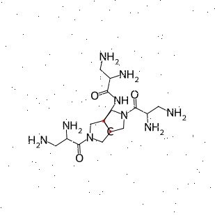 NCC(N)C(=O)NC1CC23CN(C(=O)C(N)CN)CC12CN(C(=O)C(N)CN)C3